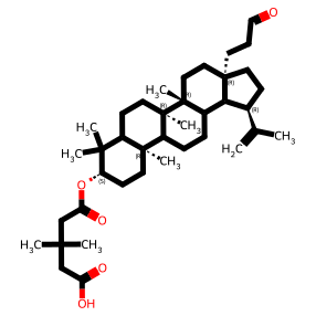 C=C(C)[C@@H]1CC[C@]2(CCC=O)CC[C@]3(C)C(CCC4[C@@]5(C)CC[C@H](OC(=O)CC(C)(C)CC(=O)O)C(C)(C)C5CC[C@]43C)C12